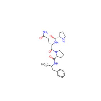 NC(=O)CC[C@H](NC(=O)[C@@H]1CCCN1)C(=O)N1CCC[C@H]1C(=O)N[C@@H](Cc1ccccc1)C(=O)O